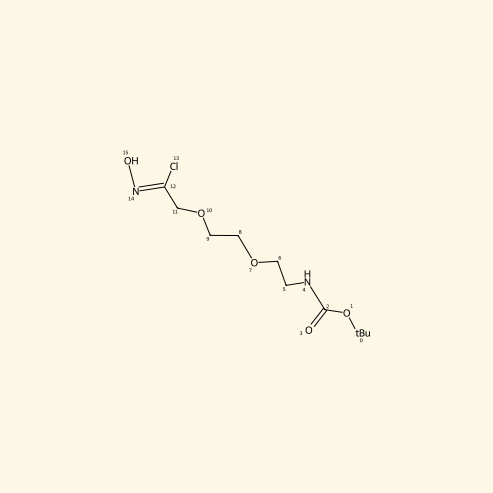 CC(C)(C)OC(=O)NCCOCCOC/C(Cl)=N/O